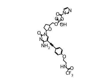 Nc1nc(=O)n(C2CCC(COP(=O)(O)OC(=O)n3ccnc3)O2)cc1C#Cc1ccc(OCCNC(=O)C(F)(F)F)cc1